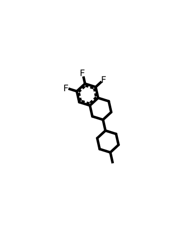 CC1CCC(C2CCc3c(cc(F)c(F)c3F)C2)CC1